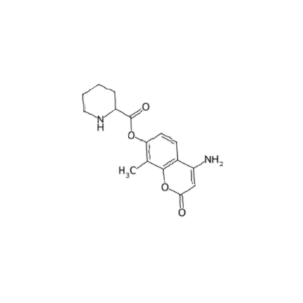 Cc1c(OC(=O)C2CCCCN2)ccc2c(N)cc(=O)oc12